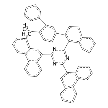 CC1(C)c2ccccc2-c2cc(-c3ccc4ccccc4c3-c3nc(-c4cc5ccccc5c5ccccc45)nc(-c4cc5ccccc5c5ccccc45)n3)ccc21